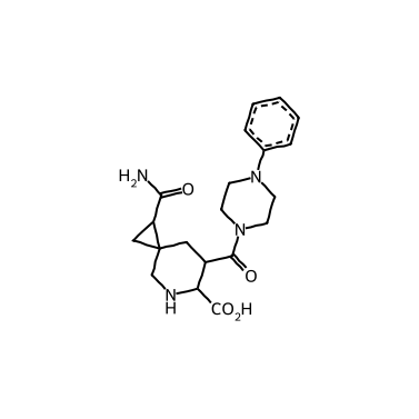 NC(=O)C1CC12CNC(C(=O)O)C(C(=O)N1CCN(c3ccccc3)CC1)C2